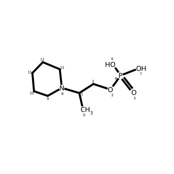 CC(COP(=O)(O)O)N1CCCCC1